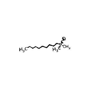 CCCCCCCCCCP(C)(C)=C=O